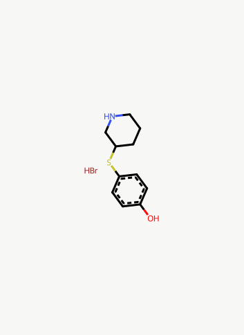 Br.Oc1ccc(SC2CCCNC2)cc1